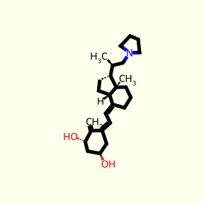 C=C1/C(=C\C=C2/CCC[C@]3(C)[C@@H]([C@@H](C)CN4CCCC4)CC[C@@H]23)C[C@@H](O)C[C@@H]1O